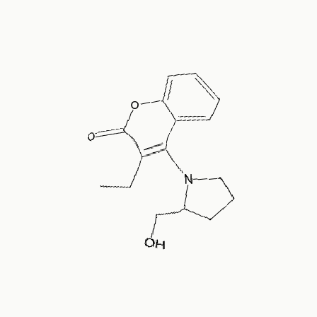 CCc1c(N2CCCC2CO)c2ccccc2oc1=O